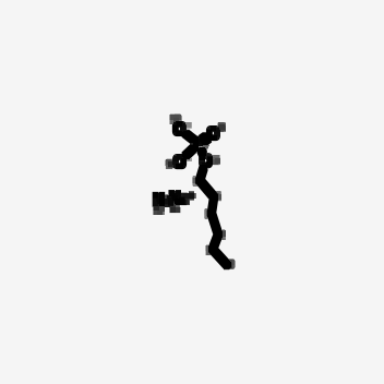 CCCCCCOP(=O)([O-])[O-].[Na+].[Na+]